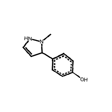 CN1NC=CC1c1ccc(O)cc1